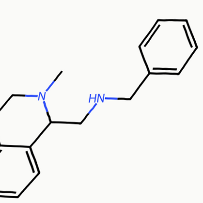 CN1CCc2ccccc2C1CNCc1ccccc1